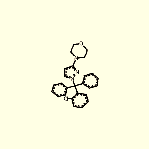 Clc1ccccc1C(c1ccccc1)(c1ccccc1)n1ccc(N2CCOCC2)n1